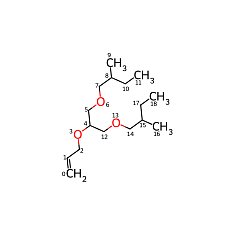 C=CCOC(COCC(C)CC)COCC(C)CC